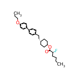 CCCC[C@H](F)C(=O)O[C@H]1CC[C@H](CCc2ccc(-c3ccc(OCCC)cc3)cc2)CC1